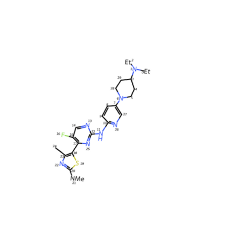 CCN(CC)C1CCN(c2ccc(Nc3ncc(F)c(-c4sc(NC)nc4C)n3)nc2)CC1